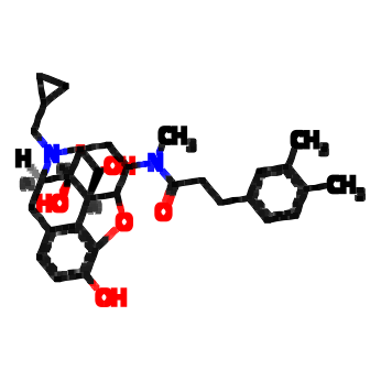 Cc1ccc(CCC(=O)N(C)C2CC[C@@]3(O)[C@H]4Cc5ccc(O)c6c5[C@@]3(C(O)CN4CC3CC3)C2O6)cc1C